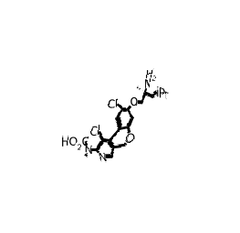 CC(C)C[C@](C)(N)COc1cc2c(cc1Cl)-c1c(cnc(N(C)C(=O)O)c1Cl)CO2